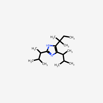 CCC(C)(C)c1[nH]c(C(C)C(C)C)nc1C(C)C(C)C